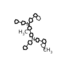 Cc1cc(N(c2ccc(-c3ccccc3)cc2)c2ccc(-c3cccc4c3CCCC4)cc2)ccc1-c1ccc(N(c2ccc(-c3ccccc3)cc2)c2ccc(-c3cccc4c3CCC(C)C4)cc2)cc1